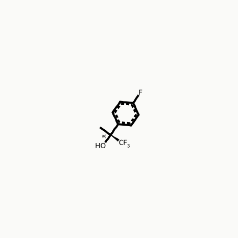 C[C@@](O)(c1ccc(F)cc1)C(F)(F)F